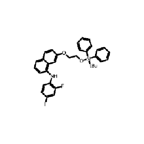 CC(C)(C)[Si](OCCOc1ccc2cccc(Nc3ccc(I)cc3F)c2c1)(c1ccccc1)c1ccccc1